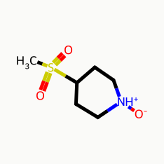 CS(=O)(=O)C1CC[NH+]([O-])CC1